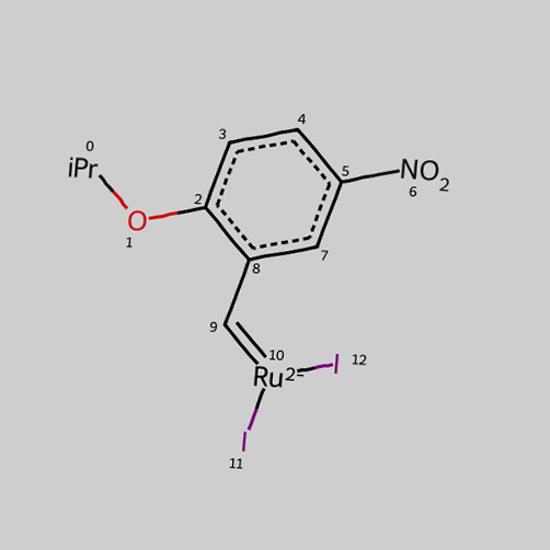 CC(C)Oc1ccc([N+](=O)[O-])cc1[CH]=[Ru-2]([I])[I]